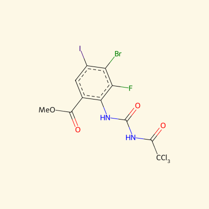 COC(=O)c1cc(I)c(Br)c(F)c1NC(=O)NC(=O)C(Cl)(Cl)Cl